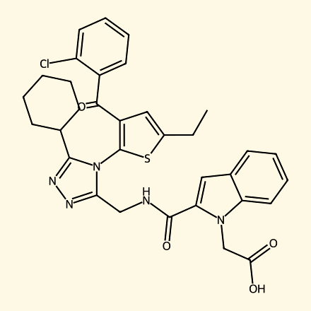 CCc1cc(C(=O)c2ccccc2Cl)c(-n2c(CNC(=O)c3cc4ccccc4n3CC(=O)O)nnc2C2CCCCC2)s1